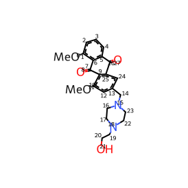 COc1cccc2c1C(=O)c1c(OC)cc(CN3CCN(CCO)CC3)cc1C2=O